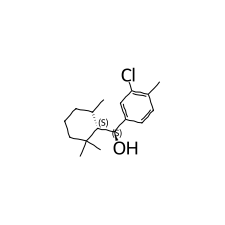 Cc1ccc([C@@H](O)[C@H]2C(C)CCCC2(C)C)cc1Cl